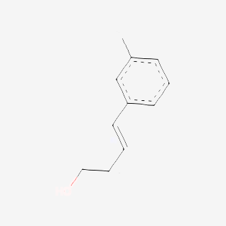 CC(C)c1cccc(/C=C/[C@H](C)CO)c1